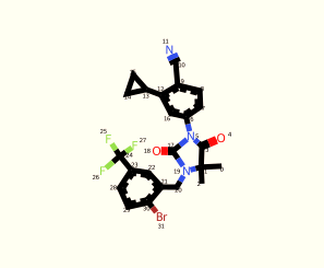 CC1(C)C(=O)N(c2ccc(C#N)c(C3CC3)c2)C(=O)N1Cc1cc(C(F)(F)F)ccc1Br